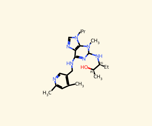 CC[C@H](NC1N=C(NCc2cnc(C)cc2C)c2ncn(C(C)C)c2N1C)[C@@H](C)O